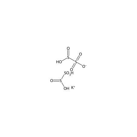 O=S(O)S(=O)(=O)O.O=S(O)S(=O)(=O)[O-].[K+]